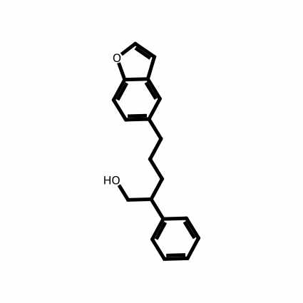 OCC(CCCc1ccc2occc2c1)c1ccccc1